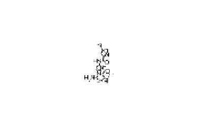 C[C@H]1C[C@H]2CSC(N)=N[C@@]2(C2SC=C(NC(=O)c3cc(C4CC4)on3)N2C)CO1